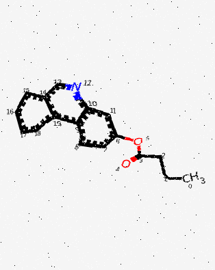 CCCC(=O)Oc1ccc2c(c1)ncc1ccccc12